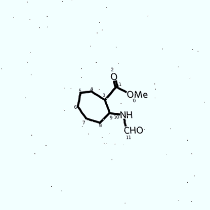 COC(=O)C1CCCCCC1NC=O